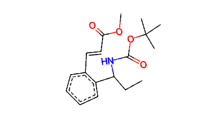 CCC(NC(=O)OC(C)(C)C)c1ccccc1C=CC(=O)OC